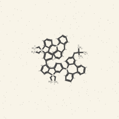 CC[Si]1(CC)c2cc(N3c4ccccc4-c4ccccc4-c4cc(CC(C)(C)C)ccc43)ccc2-c2c(-c3ccc4c(c3)[Si](CC)(CC)c3cccc(N5c6ccccc6Cc6ccccc65)c3-4)cccc21